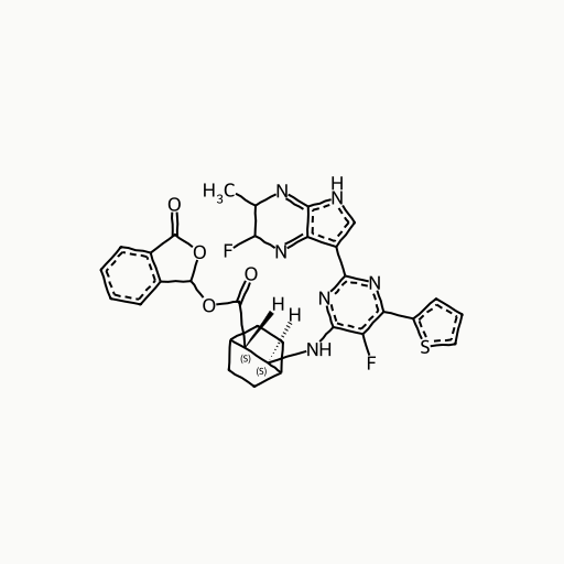 CC1N=c2[nH]cc(-c3nc(N[C@H]4C5CCC(CC5)[C@@H]4C(=O)OC4OC(=O)c5ccccc54)c(F)c(-c4cccs4)n3)c2=NC1F